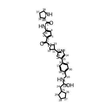 O=C(Nc1ccc(C(=O)N2CC(c3ncc(-c4ccc(CNC(O)CC5CCCC5)cc4)s3)C2)s1)[C@@H]1CCCN1